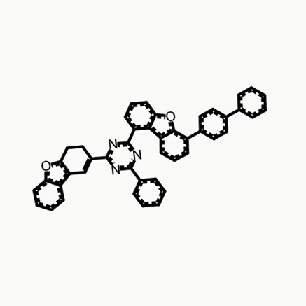 C1=C(c2nc(-c3ccccc3)nc(-c3cccc4oc5c(-c6ccc(-c7ccccc7)cc6)cccc5c34)n2)CCc2oc3ccccc3c21